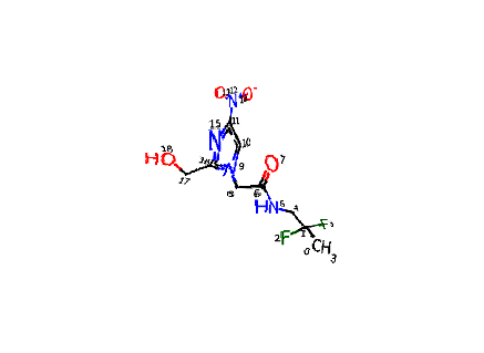 CC(F)(F)CNC(=O)Cn1cc([N+](=O)[O-])nc1CO